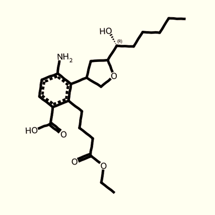 CCCCC[C@@H](O)C1CC(c2c(N)ccc(C(=O)O)c2CCCC(=O)OCC)CO1